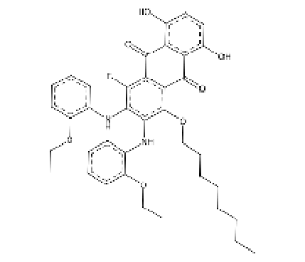 CCCCCCCCOc1c(Nc2ccccc2OCC)c(Nc2ccccc2OCC)c(F)c2c1C(=O)c1c(O)ccc(O)c1C2=O